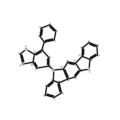 c1ccc(-c2cc(-n3c4ccccc4c4cc5oc6ccccc6c5cc43)cc3ncoc23)cc1